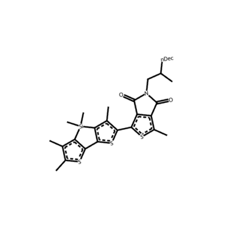 CCCCCCCCCCC(C)CN1C(=O)c2c(C)sc(-c3sc4c(c3C)[Si](C)(C)c3c-4sc(C)c3C)c2C1=O